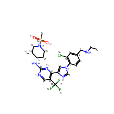 CCNCc1ccc(-n2cnc(-c3nc(N[C@H]4CCN(S(C)(=O)=O)C[C@H]4C)ncc3C(F)(F)F)c2)c(Cl)c1